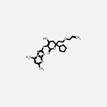 C=CCOCCC1(C2CCCC2)CC(O)=C(Sc2nc3nc(C)cc(C)n3n2)C(=O)O1